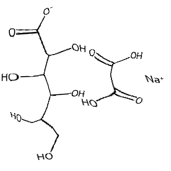 O=C(O)C(=O)O.O=C([O-])C(O)C(O)C(O)C(O)CO.[Na+]